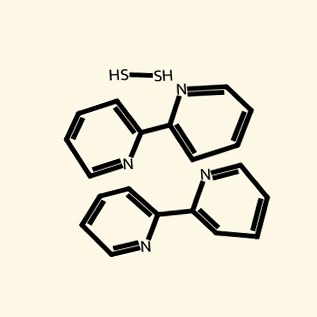 SS.c1ccc(-c2ccccn2)nc1.c1ccc(-c2ccccn2)nc1